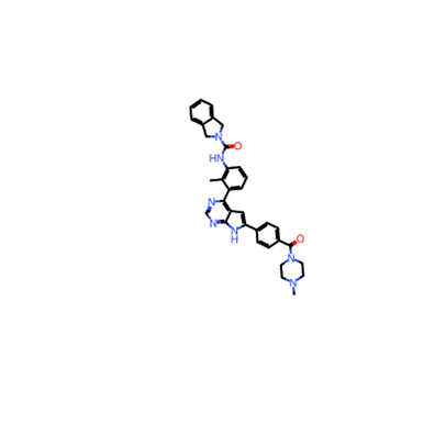 Cc1c(NC(=O)N2Cc3ccccc3C2)cccc1-c1ncnc2[nH]c(-c3ccc(C(=O)N4CCN(C)CC4)cc3)cc12